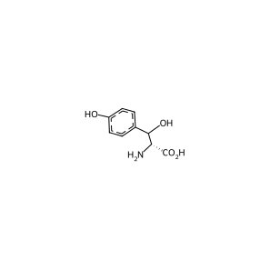 N[C@@H](C(=O)O)C(O)c1ccc(O)cc1